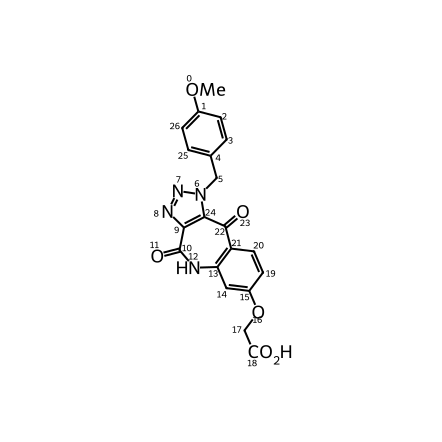 COc1ccc(Cn2nnc3c(=O)[nH]c4cc(OCC(=O)O)ccc4c(=O)c32)cc1